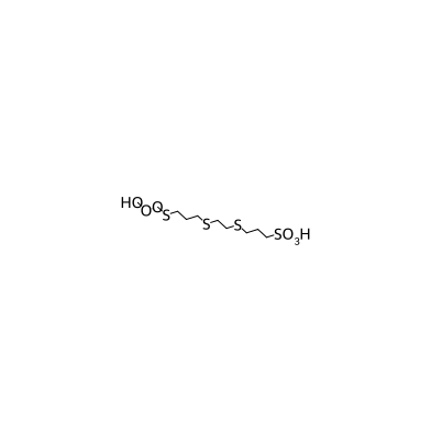 O=S(=O)(O)CCCSCCSCCCSOOO